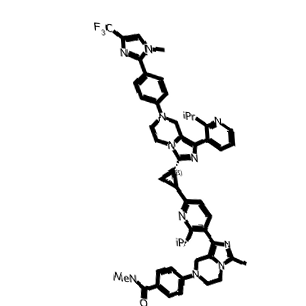 CNC(=O)c1ccc(N2CCn3c(C)nc(-c4ccc(C5C[C@@H]5c5nc(-c6cccnc6C(C)C)c6n5CCN(c5ccc(-c7nc(C(F)(F)F)cn7C)cc5)C6)nc4C(C)C)c3C2)cc1